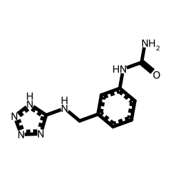 NC(=O)Nc1cccc(CNc2nnn[nH]2)c1